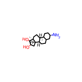 C[C@]12CC[C@H]3[C@@H](CCC4C[C@H](N)CC[C@@]43C)[C@@H]1C[C@@H](O)[C@@H]2O